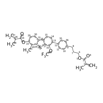 C=C(C)C(=O)OCCCc1ccc(-c2ccc3c(sc4c(C)c(OC(=O)C(=C)C)ccc43)c2OC(F)(F)F)cc1